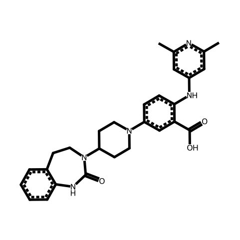 Cc1cc(Nc2ccc(N3CCC(N4CCc5ccccc5NC4=O)CC3)cc2C(=O)O)cc(C)n1